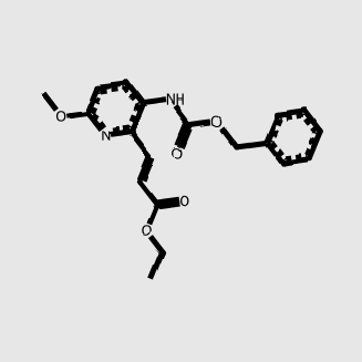 CCOC(=O)C=Cc1nc(OC)ccc1NC(=O)OCc1ccccc1